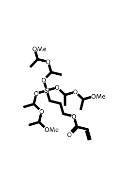 C=CC(=O)OCCC[Si](OC(C)OC(C)OC)(OC(C)OC(C)OC)OC(C)OC(C)OC